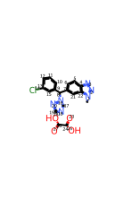 Cn1nnc2ccc(C(c3cccc(Cl)c3)n3cncn3)cc21.O=C(O)C(=O)O